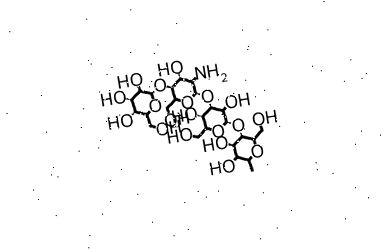 CC1OC(CO)[C@@H](O[C@@H]2OC(CO)[C@H](O)[C@H](O[C@@H]3OC(CO)[C@@H](O[C@@H]4OC(CO)[C@H](O)[C@H](O)C4O)[C@H](O)C3N)C2O)[C@H](O)C1O